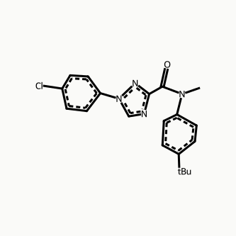 CN(C(=O)c1ncn(-c2ccc(Cl)cc2)n1)c1ccc(C(C)(C)C)cc1